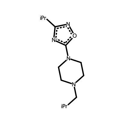 CC(C)CN1CCN(c2nc(C(C)C)no2)CC1